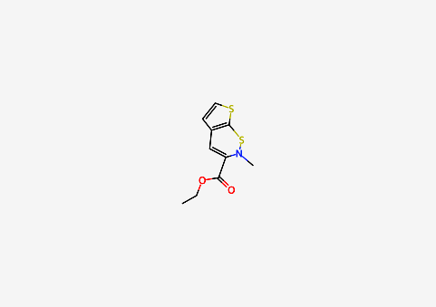 CCOC(=O)C1=Cc2ccsc2SN1C